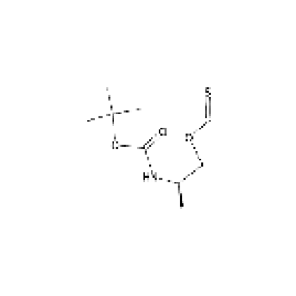 C[C@H](COC=S)NC(=O)OC(C)(C)C